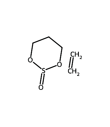 C=C.O=S1OCCCO1